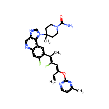 C=C/C(=C\C(F)=C(/C)c1cc2c(cc1F)ncc1ncn(C3(C)CCN(C(N)=O)CC3)c12)Oc1nccc(C)n1